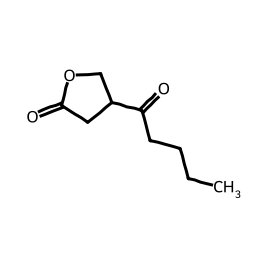 CCCCC(=O)C1COC(=O)C1